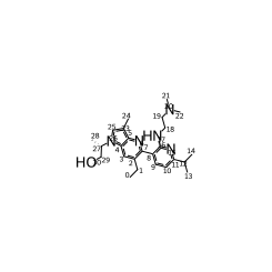 CCc1cc2c(nc1-c1ccc(C(C)C)nc1NCCN(C)C)c(C)cn2[C@@H](C)CO